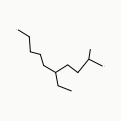 [CH2]CCCCC(CC)CCC([CH2])C